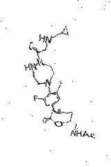 CC(=O)NC[C@H]1CN(c2cc(F)c(N3CCNN(C(=O)CNC4CC4)CC3)c(F)c2)C(=O)O1